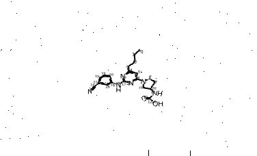 CCCCc1cc(N2CCC(NC(=O)O)C2)nc(Nc2cccc(C#N)c2)n1